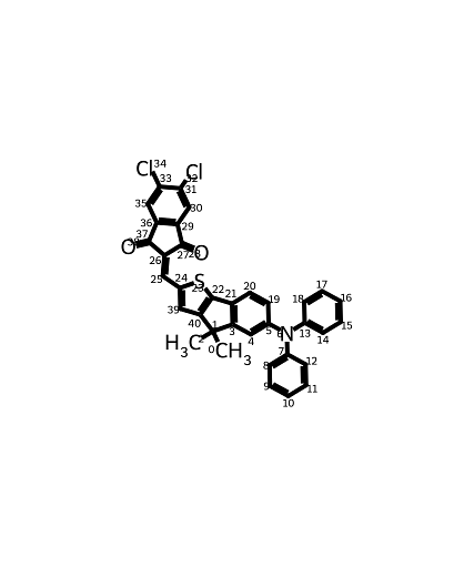 CC1(C)c2cc(N(c3ccccc3)c3ccccc3)ccc2-c2sc(C=C3C(=O)c4cc(Cl)c(Cl)cc4C3=O)cc21